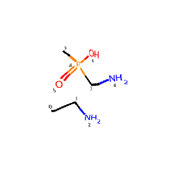 CCN.CP(=O)(O)CN